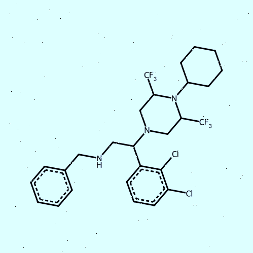 FC(F)(F)C1CN(C(CNCc2ccccc2)c2cccc(Cl)c2Cl)CC(C(F)(F)F)N1C1CCCCC1